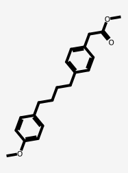 COC(=O)Cc1ccc(CCCCc2ccc(OC)cc2)cc1